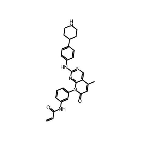 C=CC(=O)Nc1cccc(-n2c(=O)cc(C)c3cnc(Nc4ccc(C5CCNCC5)cc4)nc32)c1